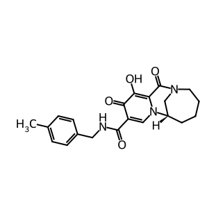 Cc1ccc(CNC(=O)c2cn3c(c(O)c2=O)C(=O)N2CCCC[C@H]3C2)cc1